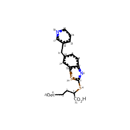 CCCCCCCCCCCCC(Sc1nc2ccc(Cc3cccnc3)cc2s1)C(=O)O